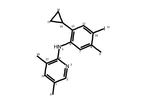 Cc1cnc(Nc2cc(C)c(I)cc2C2CC2)c(C)c1